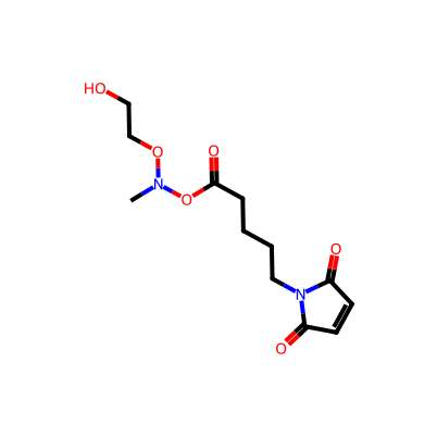 CN(OCCO)OC(=O)CCCCN1C(=O)C=CC1=O